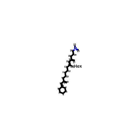 C=C(C=C1CCCCC1)CCCCC/C(=C/C(=C)CCCN(C)C)CCCCCC